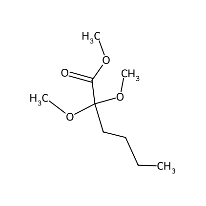 CCCCC(OC)(OC)C(=O)OC